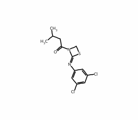 CC(C)CC(=O)N1CSC1=Nc1cc(Cl)cc(Cl)c1